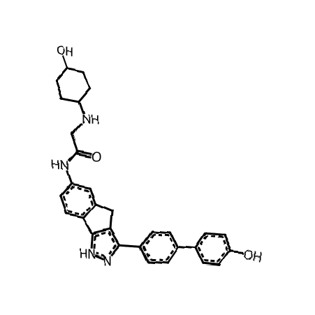 O=C(CNC1CCC(O)CC1)Nc1ccc2c(c1)Cc1c(-c3ccc(-c4ccc(O)cc4)cc3)n[nH]c1-2